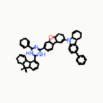 CC1(C)C2C=CC=C(C3NC(C4=CC5OC6CCC(N7c8ccc(-c9ccccc9)cc8C8CCC=CC87)=CC6C5C=C4)=NC(C4=CCCC=C4)N3)C2C2C=CCCC21